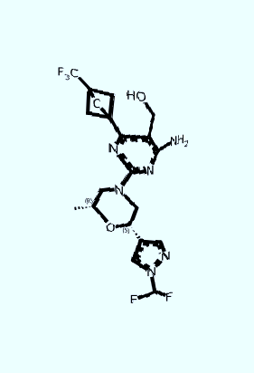 C[C@@H]1CN(c2nc(N)c(CO)c(C34CC(C(F)(F)F)(C3)C4)n2)C[C@H](c2cnn(C(F)F)c2)O1